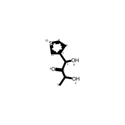 CC(O)C(=O)C(O)c1ccsc1